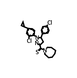 S=C(C1=NN(c2ccc(C3CC3)cc2Cl)C(c2ccc(Cl)cc2)C1)N1CCCCCCC1